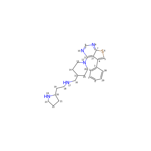 c1ccc(-c2csc3ncnc(N4CCC(CNCCC5CCCN5)CC4)c23)cc1